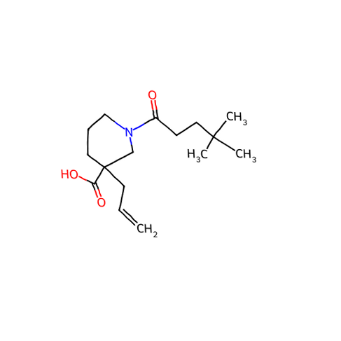 C=CCC1(C(=O)O)CCCN(C(=O)CCC(C)(C)C)C1